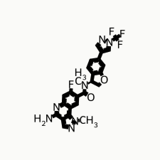 CN(C(=O)c1cc2c(cc1F)nc(N)c1cnn(C)c12)[C@@H]1COc2cc(-c3cnn(C(F)(F)F)c3)ccc21